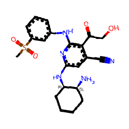 CS(=O)(=O)c1cccc(Nc2nc(N[C@@H]3CCCC[C@@H]3N)cc(C#N)c2C(=O)CO)c1